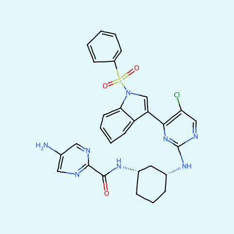 Nc1cnc(C(=O)N[C@H]2CCC[C@@H](Nc3ncc(Cl)c(-c4cn(S(=O)(=O)c5ccccc5)c5ccccc45)n3)C2)nc1